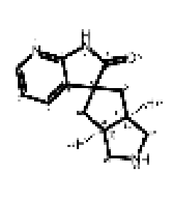 O=C1Nc2ncccc2C12C[C@H]1CNC[C@H]1C2